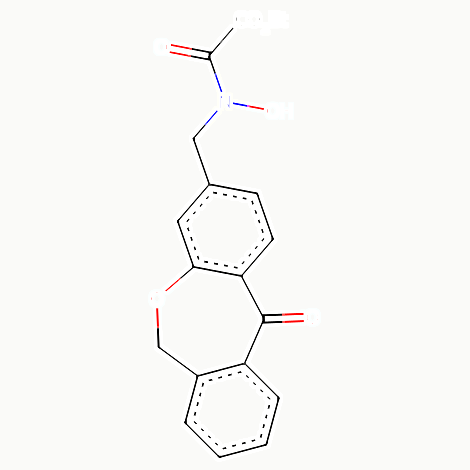 CCOC(=O)C(=O)N(O)Cc1ccc2c(c1)OCc1ccccc1C2=O